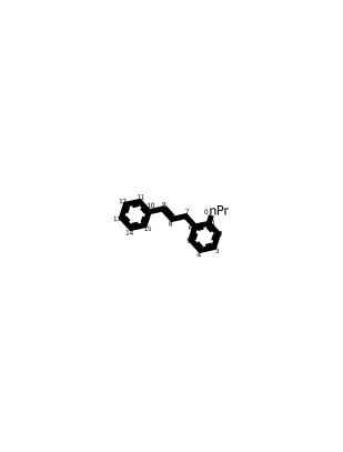 CCCc1ccccc1C/C=C/c1ccccc1